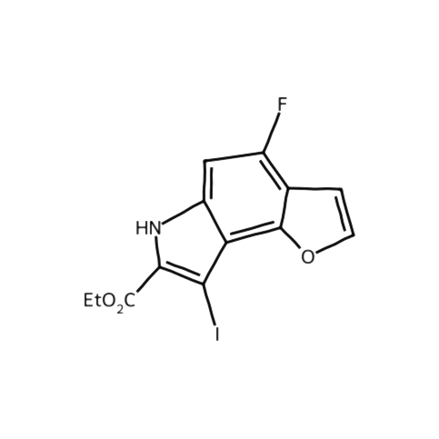 CCOC(=O)c1[nH]c2cc(F)c3ccoc3c2c1I